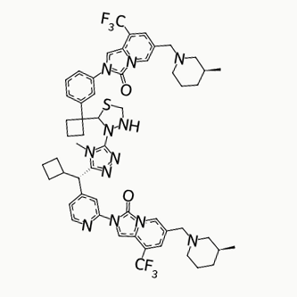 C[C@H]1CCCN(Cc2cc(C(F)(F)F)c3cn(-c4cccc(C5(C6SCNN6c6nnc([C@H](c7ccnc(-n8cc9c(C(F)(F)F)cc(CN%10CCC[C@H](C)C%10)cn9c8=O)c7)C7CCC7)n6C)CCC5)c4)c(=O)n3c2)C1